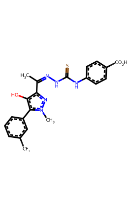 C/C(=N/NC(=S)Nc1ccc(C(=O)O)cc1)c1nn(C)c(-c2cccc(C(F)(F)F)c2)c1O